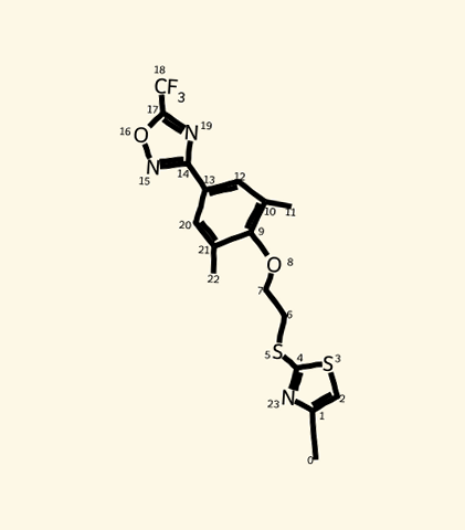 Cc1csc(SCCOc2c(C)cc(-c3noc(C(F)(F)F)n3)cc2C)n1